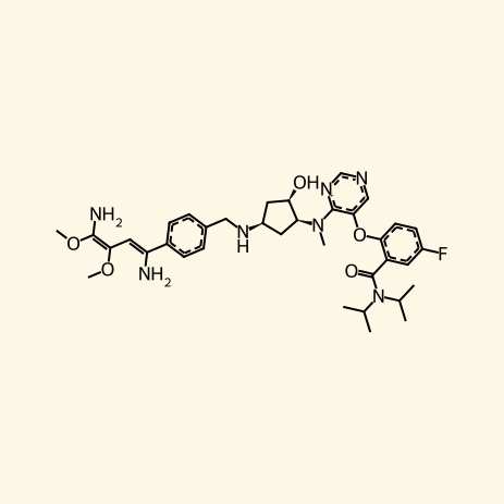 CO/C(N)=C(/C=C(\N)c1ccc(CN[C@H]2C[C@@H](O)[C@@H](N(C)c3ncncc3Oc3ccc(F)cc3C(=O)N(C(C)C)C(C)C)C2)cc1)OC